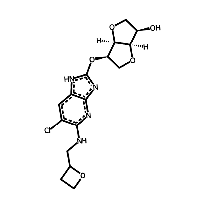 O[C@@H]1CO[C@H]2[C@@H]1OC[C@H]2Oc1nc2nc(NCC3CCO3)c(Cl)cc2[nH]1